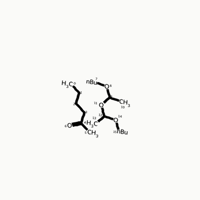 CCCCC(C)=O.CCCCOC(C)OC(C)OCCCC